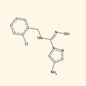 Nc1cnn(C(=NO)NCc2ccccc2Cl)c1